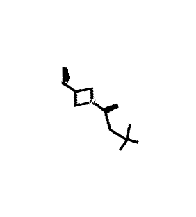 C=CC1CN(C(=C)CC(C)(C)C)C1